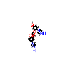 COc1ccc(N2CCNCC2)c(OCC2Oc3ccc(N4CCNCC4)cc3O2)c1